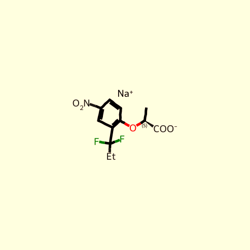 CCC(F)(F)c1cc([N+](=O)[O-])ccc1O[C@@H](C)C(=O)[O-].[Na+]